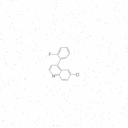 Fc1ccccc1-c1ccnc2ccc(Cl)cc12